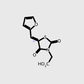 O=C(O)CN1C(=O)S/C(=C\c2ccco2)C1=O